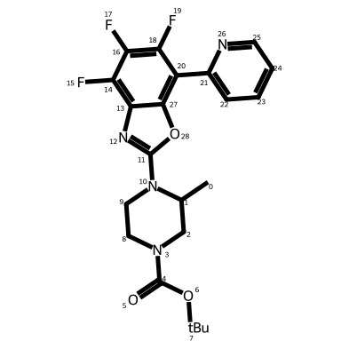 CC1CN(C(=O)OC(C)(C)C)CCN1c1nc2c(F)c(F)c(F)c(-c3ccccn3)c2o1